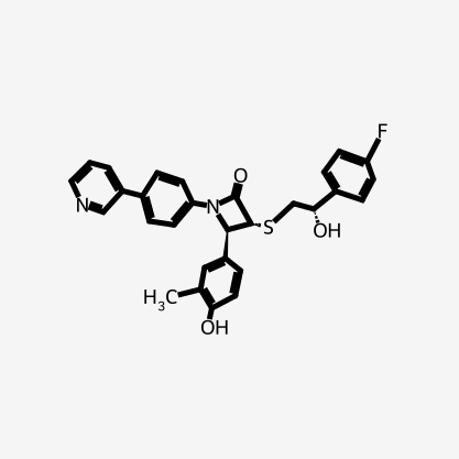 Cc1cc([C@@H]2[C@@H](SC[C@@H](O)c3ccc(F)cc3)C(=O)N2c2ccc(-c3cccnc3)cc2)ccc1O